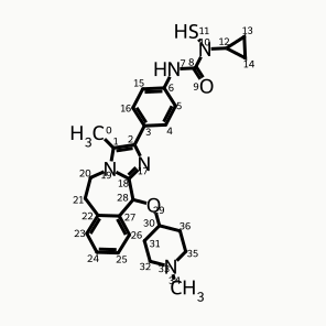 Cc1c(-c2ccc(NC(=O)N(S)C3CC3)cc2)nc2n1CCc1ccccc1C2OC1CCN(C)CC1